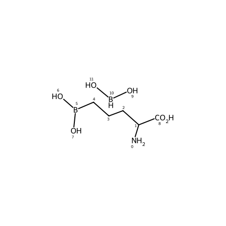 NC(CCCB(O)O)C(=O)O.OBO